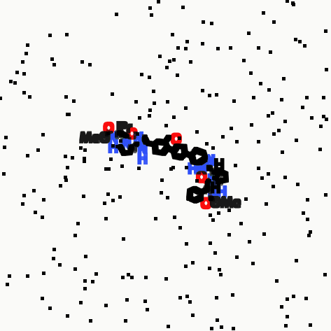 COC(=O)N[C@H](C(=O)N1CCC[C@H]1c1ncc(-c2ccc3c(c2)COc2cc(-c4ccc5nc([C@@H]6[C@H]7CC[C@H](C7)N6C(=O)[C@H](NC(=O)OC)c6ccccc6)[nH]c5c4)ccc2-3)[nH]1)C(C)C